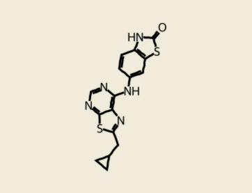 O=c1[nH]c2ccc(Nc3ncnc4sc(CC5CC5)nc34)cc2s1